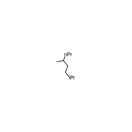 CCCC(C)CCC(C)C